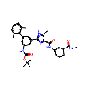 CNC(=O)c1cccc(NC(=O)c2nc(-c3cc(-c4c(C)cccc4C)cc(N(C)C(=O)OC(C)(C)C)c3)[nH]c2C)c1